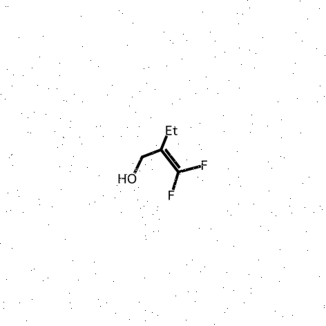 CCC(CO)=C(F)F